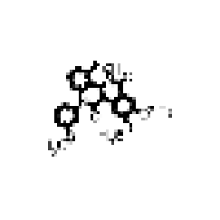 COc1cccc(NC(=O)C2c3cc(OC)c(OC)cc3C(=O)N(C)C2c2ccccc2F)c1